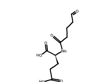 O=CCCCC(=O)N[C@@H](CCC(=O)O)C(=O)O